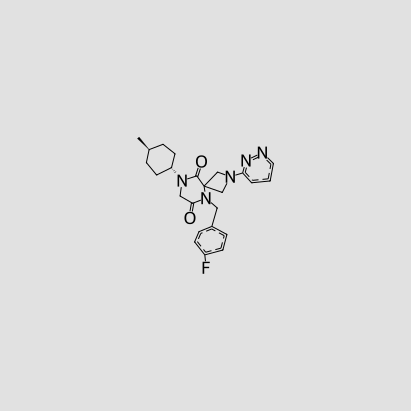 C[C@H]1CC[C@H](N2CC(=O)N(Cc3ccc(F)cc3)C3(CN(c4cccnn4)C3)C2=O)CC1